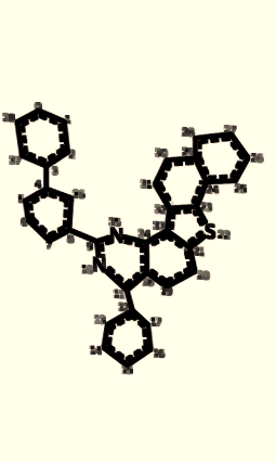 c1ccc(-c2cccc(-c3nc(-c4ccccc4)c4ccc5sc6c7ccccc7ccc6c5c4n3)c2)cc1